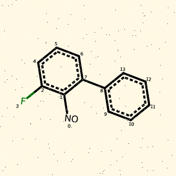 O=Nc1c(F)cccc1-c1ccccc1